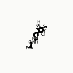 CSc1c(F)c(Cl)c(-c2ccc3nc(NC(=O)C4CC4F)cn3c2)c2cn[nH]c12